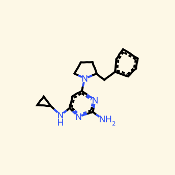 Nc1nc(NC2CC2)cc(N2CCCC2Cc2ccccc2)n1